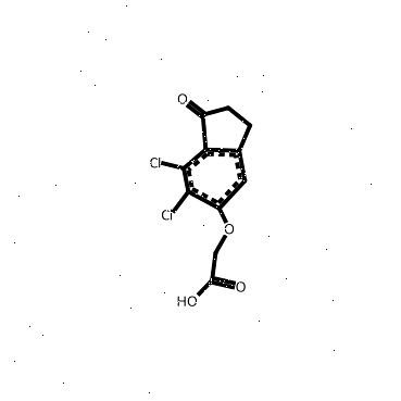 O=C(O)COc1cc2c(c(Cl)c1Cl)C(=O)CC2